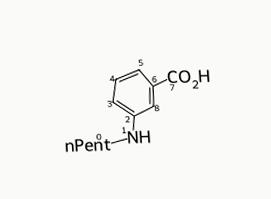 CCCCCNc1cccc(C(=O)O)c1